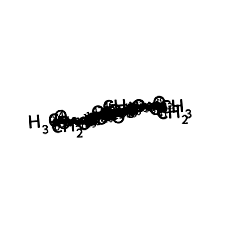 C=C(C)C(=O)OCCCCCOc1ccc(C(=O)Oc2ccc(OC(=O)/C=C/c3ccc(OCCCCOC(=O)C(=C)C)cc3)c(C)c2)cc1